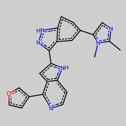 Cc1ncc(-c2ccc3[nH]nc(-c4cc5c(-c6ccoc6)nccc5[nH]4)c3c2)n1C